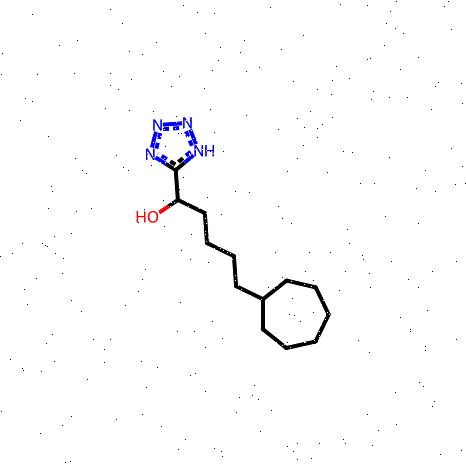 OC(CCCCC1CCCCCC1)c1nnn[nH]1